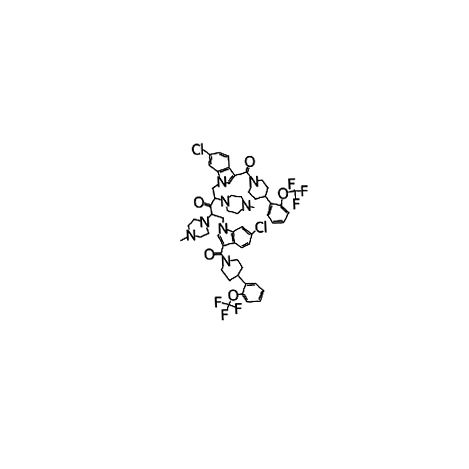 CN1CCN(C(Cn2cc(C(=O)N3CCC(c4ccccc4OC(F)(F)F)CC3)c3ccc(Cl)cc32)C(=O)C(Cn2cc(C(=O)N3CCC(c4ccccc4OC(F)(F)F)CC3)c3ccc(Cl)cc32)N2CCN(C)CC2)CC1